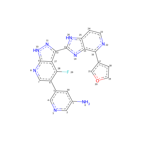 Nc1cncc(-c2cnc3[nH]nc(-c4nc5c(-c6ccoc6)nccc5[nH]4)c3c2F)c1